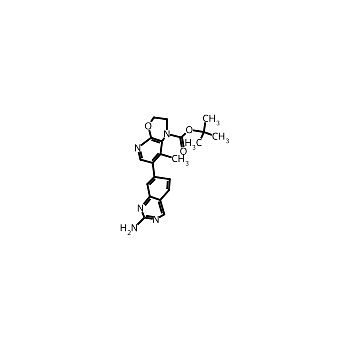 Cc1c(-c2ccc3cnc(N)nc3c2)cnc2c1N(C(=O)OC(C)(C)C)CCO2